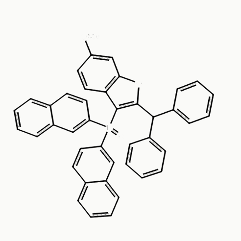 COc1ccc2c(P(=O)(c3ccc4ccccc4c3)c3ccc4ccccc4c3)c(C(c3ccccc3)c3ccccc3)oc2c1